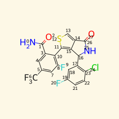 NC(=O)c1cc(C(F)(F)F)cc(F)c1-c1scc2c1C(c1cc(F)ccc1Cl)NC2=O